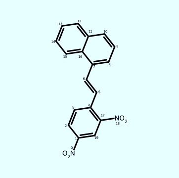 O=[N+]([O-])c1ccc(C=Cc2cccc3ccccc23)c([N+](=O)[O-])c1